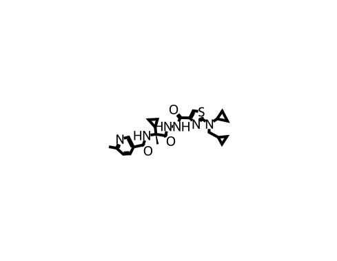 Cc1ccc(C(=O)N[C@@](C)(C(=O)NNC(=O)c2csc(N(CC3CC3)C3CC3)n2)C2CC2)cn1